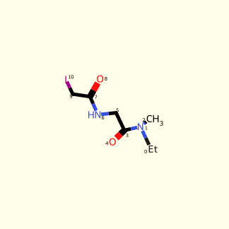 CCN(C)C(=O)CNC(=O)CI